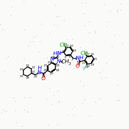 Cn1c(Nc2cc(CNC(=O)c3c(F)cccc3Cl)ccc2Cl)nc2cc(C(=O)NCC3CCCCC3)ccc21